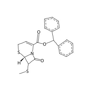 CSC1C(=O)N2C(C(=O)OC(c3ccccc3)c3ccccc3)=CCS[C@@H]12